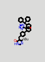 CCCCc1nc[nH]c(=O)c1Cc1ccc(-c2ccccc2-c2nnnn2C(c2ccccc2)(c2ccccc2)c2ccccc2)cc1